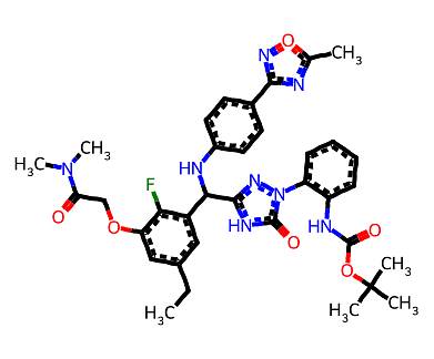 CCc1cc(OCC(=O)N(C)C)c(F)c(C(Nc2ccc(-c3noc(C)n3)cc2)c2nn(-c3ccccc3NC(=O)OC(C)(C)C)c(=O)[nH]2)c1